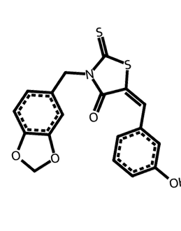 O=C1/C(=C\c2cccc(O)c2)SC(=S)N1Cc1ccc2c(c1)OCO2